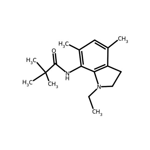 CCN1CCc2c(C)cc(C)c(NC(=O)C(C)(C)C)c21